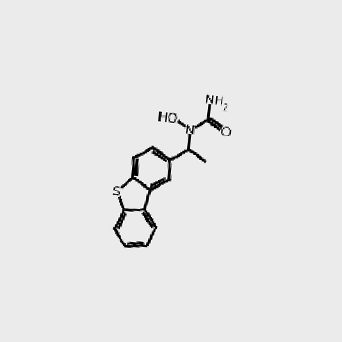 CC(c1ccc2sc3ccccc3c2c1)N(O)C(N)=O